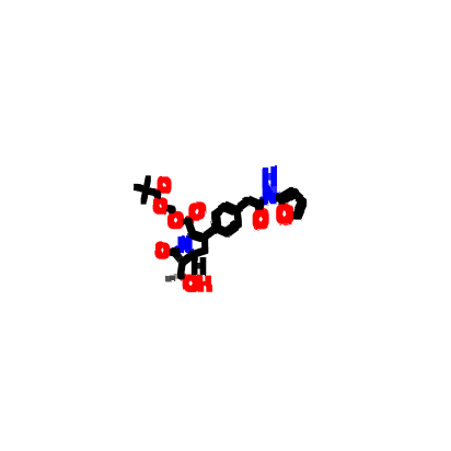 C[C@@H](O)[C@H]1C(=O)N2C(C(=O)OCOC(=O)C(C)(C)C)=C(c3ccc(CC(=O)Nc4ccco4)cc3)C[C@H]12